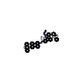 C=C/C=C\C=C(/CC)C1(c2ccccc2)c2cc(/C=C/c3ccc4c5cccc6c(N7c8ccccc8Oc8ccccc87)ccc(c7cccc3c47)c65)ccc2-c2ccc(N3C4=C(C=CCC4)Oc4ccccc43)cc21